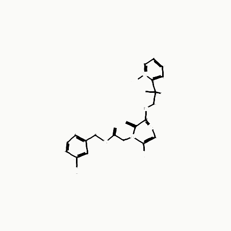 O=C(Cn1c(Cl)cnc(NCC(F)(F)c2cccc[n+]2[O-])c1=O)NCc1cccc(Cl)c1